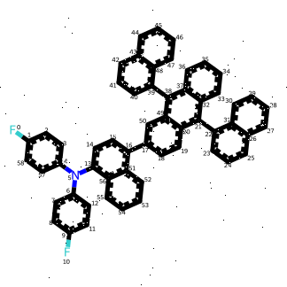 Fc1ccc(N(c2ccc(F)cc2)c2ccc(-c3ccc4c(-c5cccc6ccccc56)c5ccccc5c(-c5cccc6ccccc56)c4c3)c3ccccc23)cc1